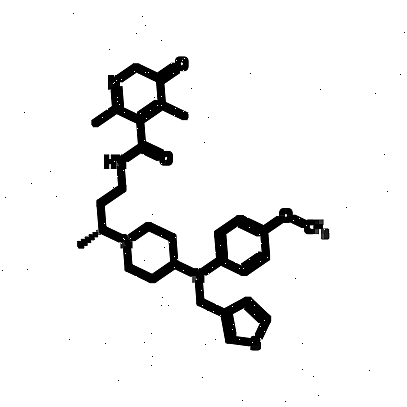 CC1=NCC(=O)C(C)=C1C(=O)NCC[C@@H](C)N1CCC(N(Cc2ccsc2)c2ccc(OC(F)(F)F)cc2)CC1